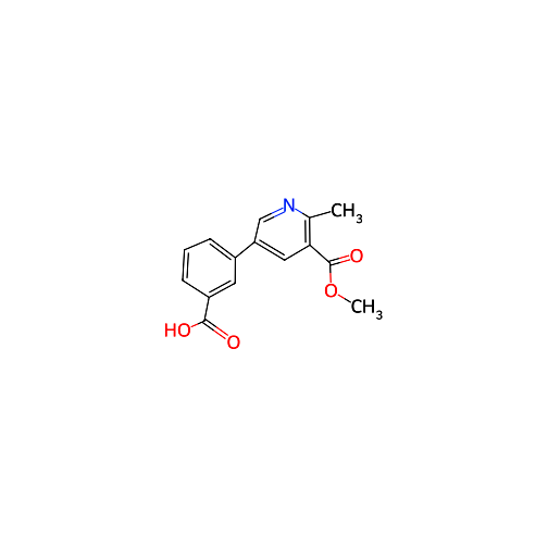 COC(=O)c1cc(-c2cccc(C(=O)O)c2)cnc1C